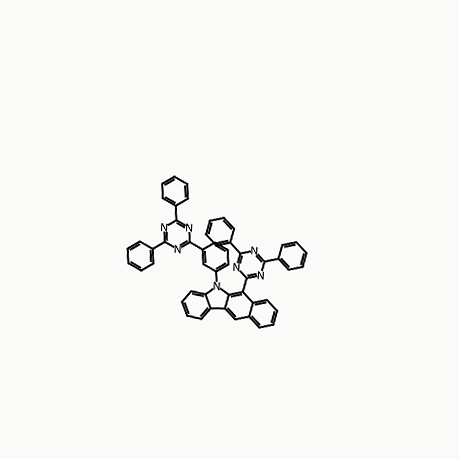 c1ccc(-c2nc(-c3ccccc3)nc(-c3cccc(-n4c5ccccc5c5cc6ccccc6c(-c6nc(-c7ccccc7)nc(-c7ccccc7)n6)c54)c3)n2)cc1